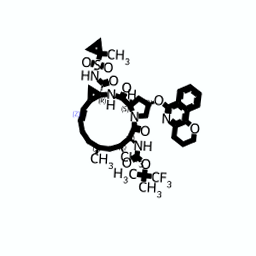 C[C@H]1CC/C=C\C2C[C@@]2(C(=O)NS(=O)(=O)C2(C)CC2)NC(=O)[C@@H]2C[C@@H](Oc3nc4c(c5ccccc35)OCCC4)CN2C(=O)[C@@H](NC(=O)OC(C)(C)C(F)(F)F)[C@H](C)C1